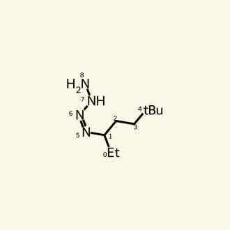 CCC(CCC(C)(C)C)/N=N\NN